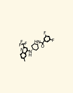 Cc1ccc2nc(C(F)(F)F)cc(N[C@H]3CC[C@@H](NC(=O)c4cc(F)cc(F)c4)CC3)c2c1